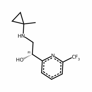 CC1(NC[C@@H](O)c2cccc(C(F)(F)F)n2)CC1